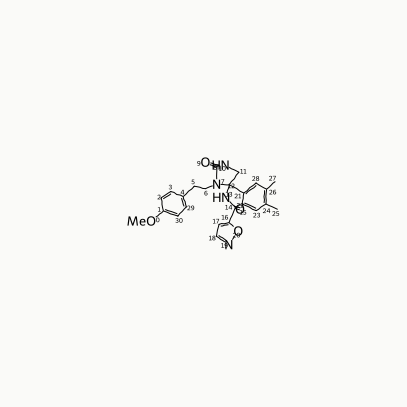 COc1ccc(CCN2C(=O)NCC2(NC(=O)c2ccno2)c2ccc(C)c(C)c2)cc1